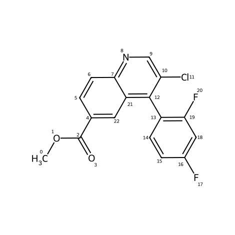 COC(=O)c1ccc2ncc(Cl)c(-c3ccc(F)cc3F)c2c1